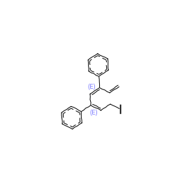 C=C/C(=C\C(=C/CI)c1ccccc1)c1ccccc1